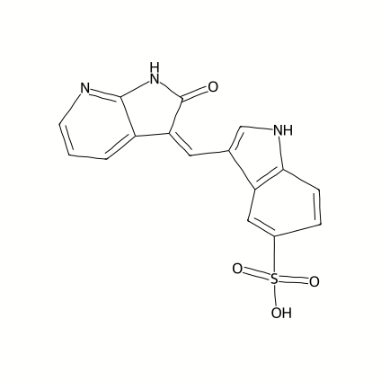 O=C1Nc2ncccc2C1=Cc1c[nH]c2ccc(S(=O)(=O)O)cc12